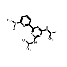 C[C@@H](Nc1nc(N[C@H](C)C(F)(F)F)nc(-c2cccc([S+](C)[O-])n2)n1)C(F)(F)F